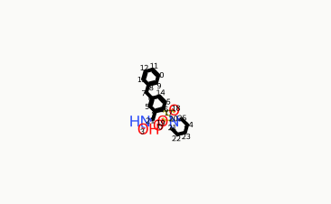 O=C(NO)c1cc(Cc2ccccc2)ccc1S(=O)(=O)N1CCCCC1